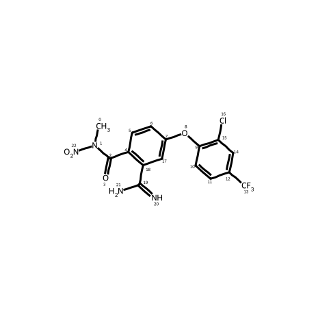 CN(C(=O)c1ccc(Oc2ccc(C(F)(F)F)cc2Cl)cc1C(=N)N)[N+](=O)[O-]